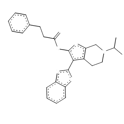 CC(C)N1CCc2c(sc(NC(=O)CCc3ccccc3)c2-c2nc3ccccc3s2)C1